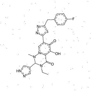 CCN1C(=O)c2c(O)c(=O)c(-c3nnc(Cc4ccc(F)cc4)s3)cn2N(C)C1c1cn[nH]c1